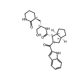 O=C1NCCC[C@H]1C[C@@H](CO)NC(=O)[C@@H]1[C@H]2CCC[C@H]2CN1C(=O)c1cc2ccccc2[nH]1